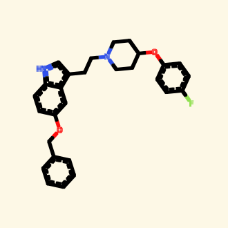 Fc1ccc(OC2CCN(CCc3c[nH]c4ccc(OCc5ccccc5)cc34)CC2)cc1